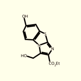 CCOC(=O)c1nc2sc3cc(O)ccc3n2c1CO